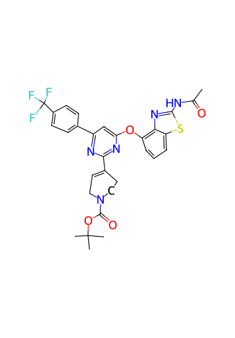 CC(=O)Nc1nc2c(Oc3cc(-c4ccc(C(F)(F)F)cc4)nc(C4=CCN(C(=O)OC(C)(C)C)CC4)n3)cccc2s1